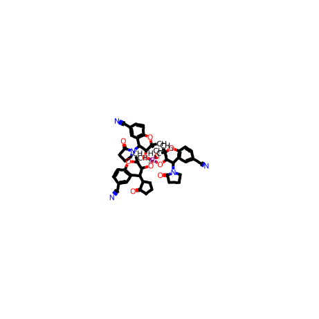 CC1(C)Oc2ccc(C#N)cc2C(C2CCCC2=O)C1OP(=O)(OC1C(N2CCCC2=O)c2cc(C#N)ccc2OC1(C)C)OC1C(N2CCCC2=O)c2cc(C#N)ccc2OC1(C)C